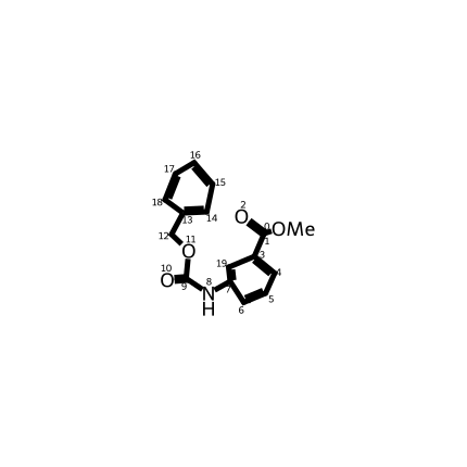 COC(=O)c1cc[c]c(NC(=O)OCc2ccccc2)c1